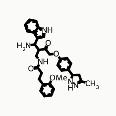 COc1ccccc1CCC(=O)NCC(C(=O)COc1ccc(C2CC(C)=NN2)cc1)C(N)c1c[nH]c2ccccc12